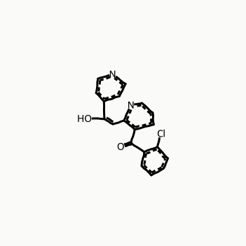 O=C(c1ccccc1Cl)c1cccnc1/C=C(/O)c1ccncc1